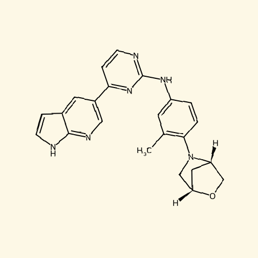 Cc1cc(Nc2nccc(-c3cnc4[nH]ccc4c3)n2)ccc1N1C[C@@H]2C[C@H]1CO2